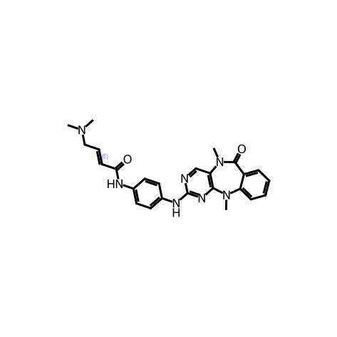 CN(C)C/C=C/C(=O)Nc1ccc(Nc2ncc3c(n2)N(C)c2ccccc2C(=O)N3C)cc1